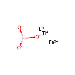 [Fe+2].[Li+].[O-]B([O-])[O-].[Ti+4]